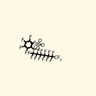 O=S(=O)(O[I+](c1c(F)c(F)c(F)c(F)c1F)C(F)(F)C(F)(F)C(F)(F)C(F)(F)C(F)(F)C(F)(F)C(F)(F)F)C(F)(F)F